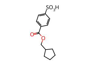 O=C(OCC1CCCC1)c1ccc(S(=O)(=O)O)cc1